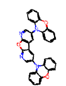 c1ccc2c(c1)Oc1ccccc1N2c1cnc2oc3ncc(N4c5ccccc5Oc5ccccc54)cc3c2c1